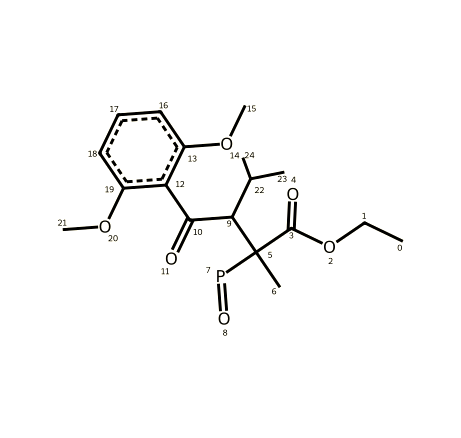 CCOC(=O)C(C)(P=O)C(C(=O)c1c(OC)cccc1OC)C(C)C